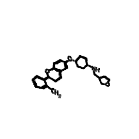 Cc1ccccc1C1CCc2cc(O[C@H]3CC[C@H](NCC4CCOC4)CC3)ccc2O1